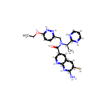 CCOc1ccc(CN(C(=O)c2cnc3nc(N)c(Br)cc3c2)[C@H](C)c2ncccn2)nn1